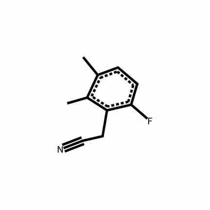 Cc1ccc(F)c(CC#N)c1C